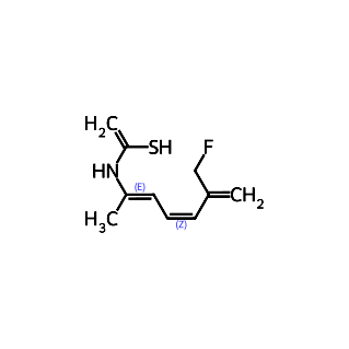 C=C(/C=C\C=C(/C)NC(=C)S)CF